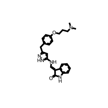 CN(C)CCCOc1ccc(Cc2cc(N/C=C3/C(=O)Nc4ccccc43)[nH]n2)cc1